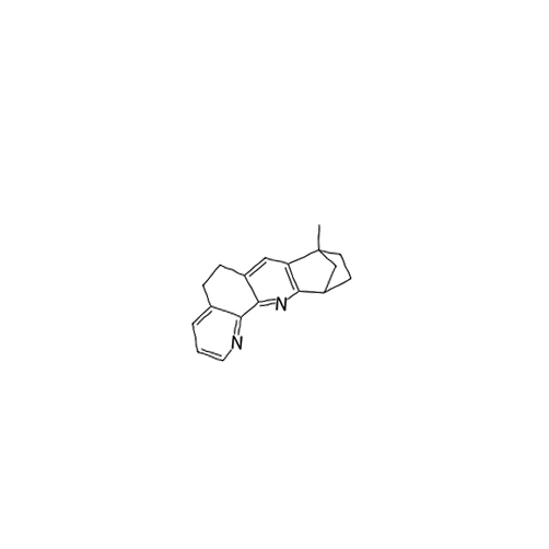 CC12CCC(C1)c1nc3c(cc12)CCc1cccnc1-3